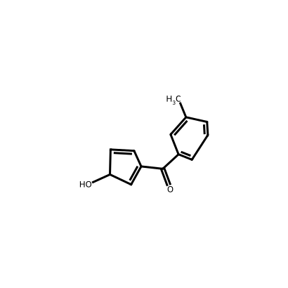 Cc1cccc(C(=O)C2=CC(O)C=C2)c1